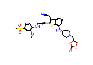 COc1cc(S(C)(=O)=O)c(F)cc1NCC#Cc1sc2c(NC3CCN(CC4COC(=O)O4)CC3)cccc2c1CC#N